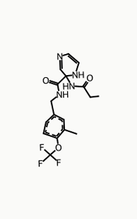 CCC(=O)NC1(C(=O)NCc2ccc(OC(F)(F)F)c(C)c2)C=NC=CN1